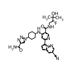 CC(C)(O)[C@H](F)CNC(=O)c1cnc(-c2ccc3cc(C#N)cnn23)cc1NC1CCC(n2cc(C(N)=O)nn2)CC1